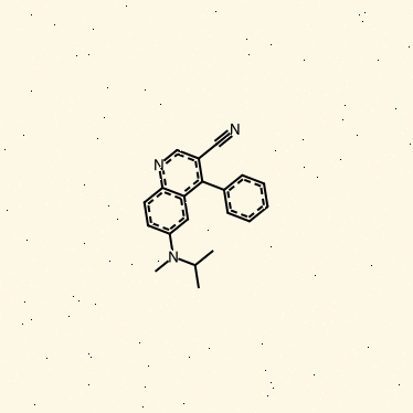 CC(C)N(C)c1ccc2ncc(C#N)c(-c3ccccc3)c2c1